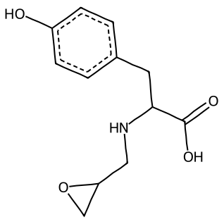 O=C(O)C(Cc1ccc(O)cc1)NCC1CO1